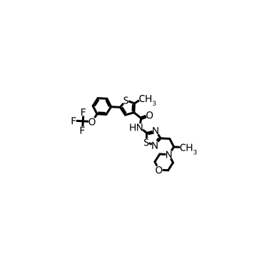 Cc1sc(-c2cccc(OC(F)(F)F)c2)cc1C(=O)Nc1nc(CC(C)N2CCOCC2)ns1